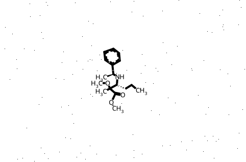 CCC[C@@H](N[C@@H](C)c1ccccc1)C(C)(OC)C(=O)OC